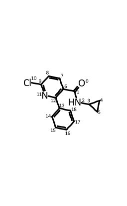 O=C(NC1CC1)c1ccc(Cl)nc1-c1ccccc1